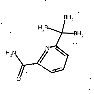 BC(B)(B)c1cccc(C(N)=O)n1